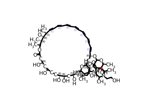 CNCC(=O)NC1[C@H](O)C(O[C@H]2/C=C/C=C/C=C/C=C/C=C/C=C/C=C/[C@H](C)[C@@H](O)[C@@H](C)[C@H](C)OC(=O)C[C@H](O)C[C@H](O)CC[C@@H](O)[C@H](O)C[C@H](O)C[C@]3(O)C[C@H](O)[C@@H](C(=O)N4CC(C)N(CCO)C(C)C4)[C@H](C2)O3)O[C@@H](C)[C@H]1O